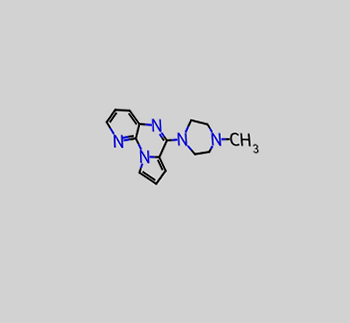 CN1CCN(c2nc3cccnc3n3cccc23)CC1